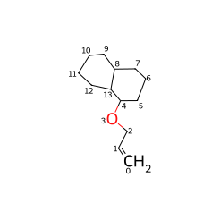 C=CCOC1CCCC2CCCCC21